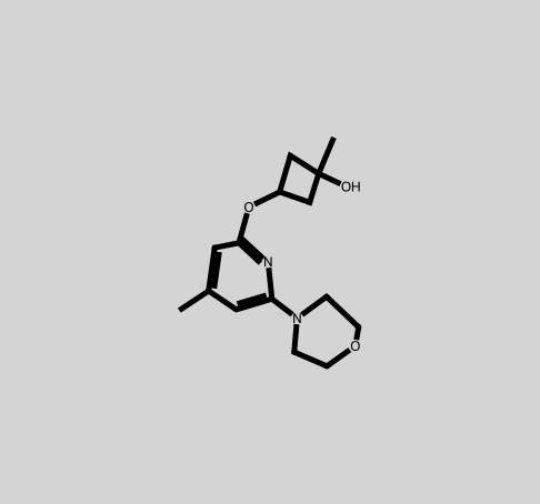 Cc1cc(OC2CC(C)(O)C2)nc(N2CCOCC2)c1